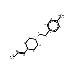 CCc1ccc(CC[C@H]2CC[C@H](C=CC#N)CC2)cc1